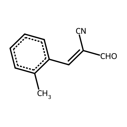 Cc1ccccc1/C=C(\C#N)C=O